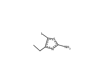 CCc1nc(N)sc1I